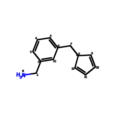 NCc1cccc(C[C]2C=CC=C2)c1